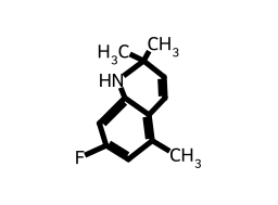 Cc1cc(F)cc2c1C=CC(C)(C)N2